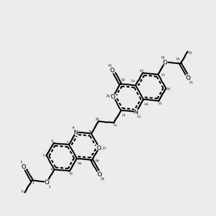 CC(=O)Oc1ccc2nc(CCc3nc4ccc(OC(C)=O)cc4c(=O)o3)oc(=O)c2c1